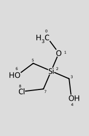 CO[Si](CO)(CO)CCl